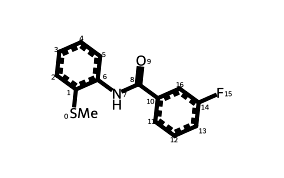 CSc1ccccc1NC(=O)c1cccc(F)c1